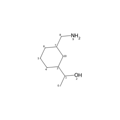 CC(O)C1CCCC(CN)C1